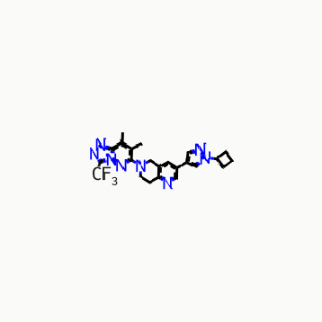 Cc1c(N2CCc3ncc(-c4cnn(C5CCC5)c4)cc3C2)nn2c(C(F)(F)F)nnc2c1C